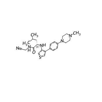 CC(C)C[C@H](Nc1cscc1-c1ccc(N2CCN(C)CC2)cc1)C(=O)NCC#N